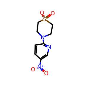 O=[N+]([O-])c1ccc(N2CCS(=O)(=O)CC2)nc1